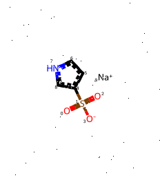 O=S(=O)([O-])c1cc[nH]c1.[Na+]